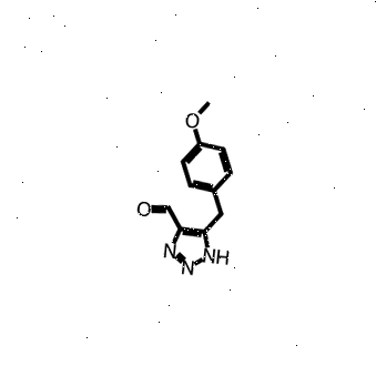 COc1ccc(Cc2[nH]nnc2C=O)cc1